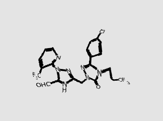 O=CC1NC(Cn2nc(-c3ccc(Cl)cc3)n(CCC(F)(F)F)c2=O)=NN1c1ncccc1C(F)(F)F